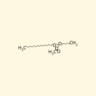 C=CCCCCOC(COCCCCCCCCCCCCCCCC)COC(C)=O